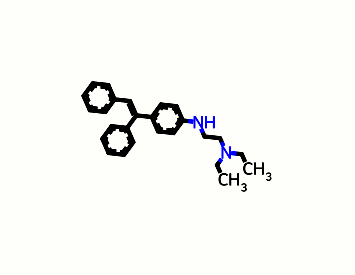 CCN(CC)CCNc1ccc(C(=Cc2ccccc2)c2ccccc2)cc1